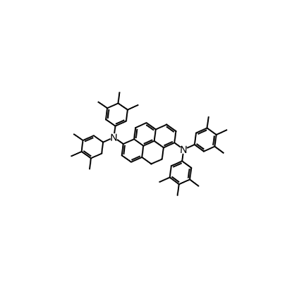 CC1=CC(N(C2=CC(C)C(C)C(C)=C2)c2ccc3c4c2ccc2ccc(N(c5cc(C)c(C)c(C)c5)c5cc(C)c(C)c(C)c5)c(c24)CC3)CC(C)=C1C